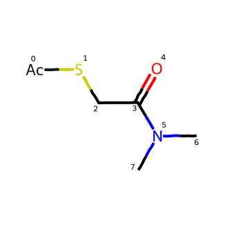 CC(=O)SCC(=O)N(C)C